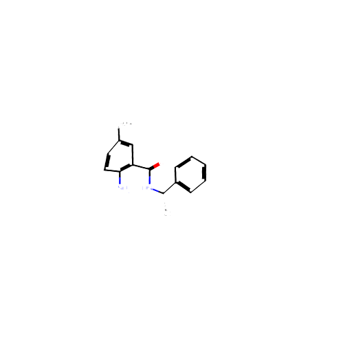 CC[C@H](NC(=O)c1cc(OC)ccc1N)c1ccccc1